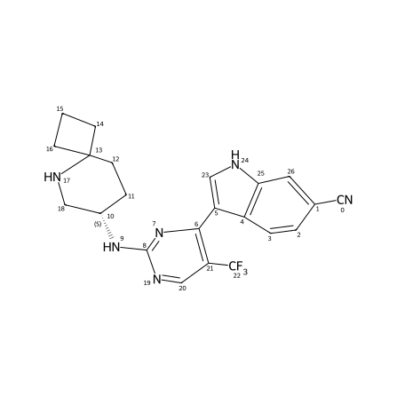 N#Cc1ccc2c(-c3nc(N[C@H]4CCC5(CCC5)NC4)ncc3C(F)(F)F)c[nH]c2c1